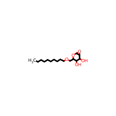 CCCCCCCCCCOCC1OC2OC2C(O)C1O